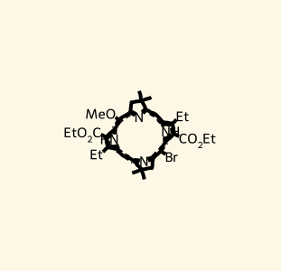 CCOC(=O)c1c(CC)c2cc3nc(c(OC)c4[nH]c(cc5nc(c(Br)c1[nH]2)CC5(C)C)c(CC)c4C(=O)OCC)CC3(C)C